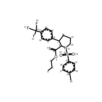 CCCOC(=S)C1C(c2ccc(C(F)(F)F)cc2)CCCN1S(=O)(=O)c1ccc(C)cc1